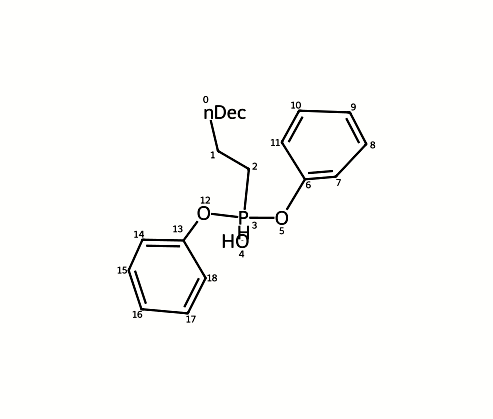 CCCCCCCCCCCC[PH](O)(Oc1ccccc1)Oc1ccccc1